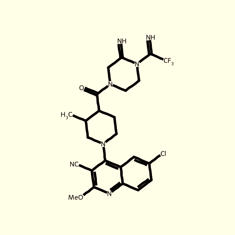 COc1nc2ccc(Cl)cc2c(N2CCC(C(=O)N3CCN(C(=N)C(F)(F)F)C(=N)C3)C(C)C2)c1C#N